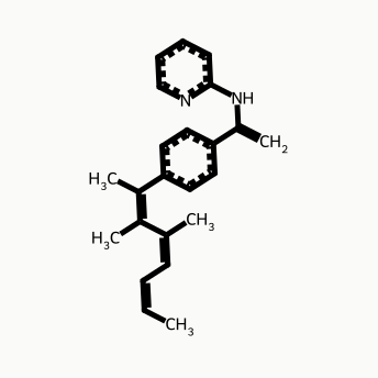 C=C(Nc1ccccn1)c1ccc(\C(C)=C(C)/C(C)=C\C=C/C)cc1